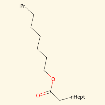 CCCCCCCCC(=O)OCCCCCCC(C)C